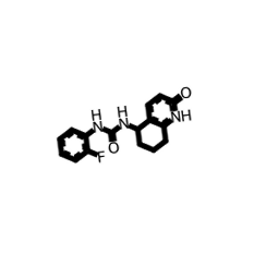 O=C(Nc1ccccc1F)NC1CCCc2[nH]c(=O)ccc21